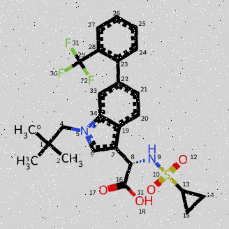 CC(C)(C)Cn1cc([C@H](NS(=O)(=O)C2CC2)C(=O)O)c2ccc(-c3ccccc3C(F)(F)F)cc21